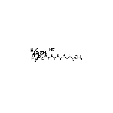 CCCCCCCCCCCC[N+](C)(C)C(C)=O.[Br-]